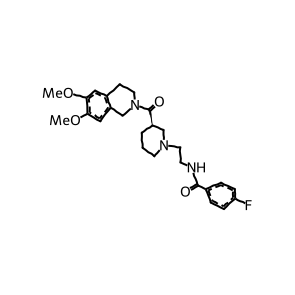 COc1cc2c(cc1OC)CN(C(=O)[C@@H]1CCCN(CCNC(=O)c3ccc(F)cc3)C1)CC2